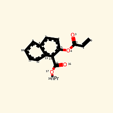 C=CC(=O)Oc1ccc2ccccc2c1C(=O)OCCC